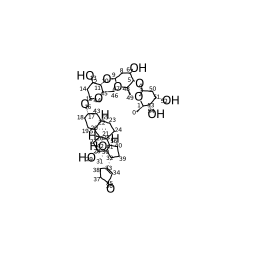 C[C@H]1O[C@@H](O[C@H]2[C@@H](O)C[C@H](O[C@H]3[C@@H](O)C[C@H](O[C@H]4CC[C@@]5(C)[C@H](CC[C@@H]6[C@@H]5C[C@@H](O)[C@]5(C)[C@@H](C7=CC(=O)CC7)CC[C@]65O)C4)O[C@@H]3C)O[C@@H]2C)C[C@H](O)[C@@H]1O